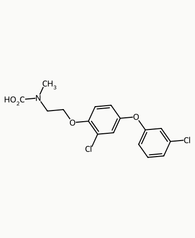 CN(CCOc1ccc(Oc2cccc(Cl)c2)cc1Cl)C(=O)O